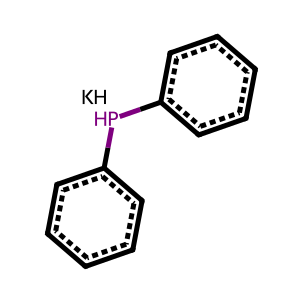 [KH].c1ccc(Pc2ccccc2)cc1